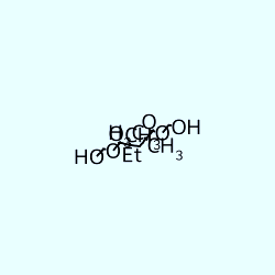 CCC(C)(CC(C)(C)C(=O)OCO)C(=O)OCO